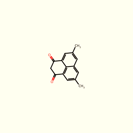 Cc1cc2c3c(cc(C)cc3c1)C(=O)CC2=O